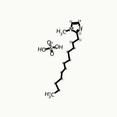 CCCCCCCCCCCCc1nccn1C.O=S(=O)(O)O